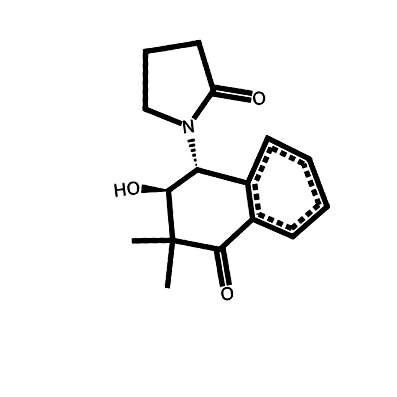 CC1(C)C(=O)c2ccccc2[C@@H](N2CCCC2=O)[C@@H]1O